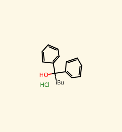 CCC(C)C(O)(c1ccccc1)c1ccccc1.Cl